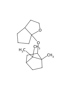 CC1(C)C2CCC1(C)C(OC13CCCC1CCO3)C2